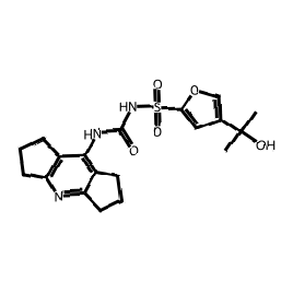 CC(C)(O)c1coc(S(=O)(=O)NC(=O)Nc2c3c(nc4c2CCC4)CCC3)c1